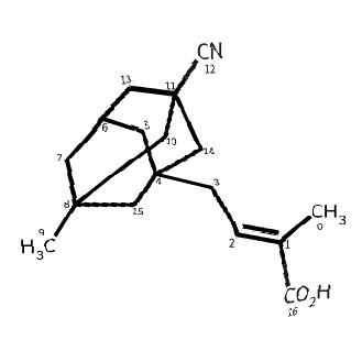 CC(=CCC12CC3CC(C)(CC(C#N)(C3)C1)C2)C(=O)O